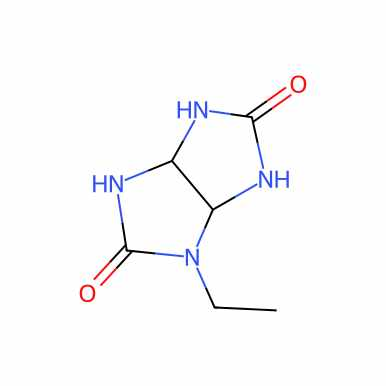 CCN1C(=O)NC2NC(=O)NC21